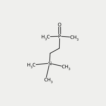 C[Si](C)(C)CCP(C)(C)=O